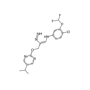 CC(C)c1cnc(OC/C(=C/Nc2ccc(Cl)c(OC(F)F)c2)N=N)nc1